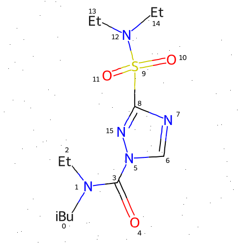 CCC(C)N(CC)C(=O)n1cnc(S(=O)(=O)N(CC)CC)n1